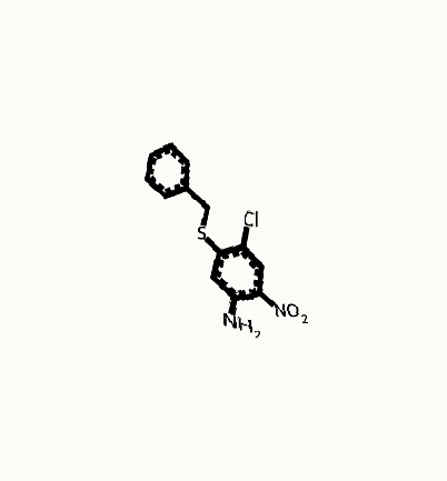 Nc1cc(SCc2ccccc2)c(Cl)cc1[N+](=O)[O-]